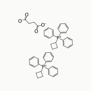 O=C([O-])CCC(=O)[O-].c1ccc([P+](c2ccccc2)(c2ccccc2)C2CCC2)cc1.c1ccc([P+](c2ccccc2)(c2ccccc2)C2CCC2)cc1